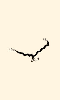 CCCC/C=C\CCCCCCC(CCCCCCCCCCCCCCCC)C(=O)O